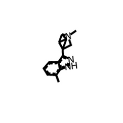 Cc1cccc2c(C34CN(C)C5C3C54)n[nH]c12